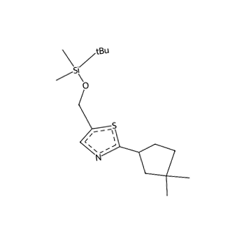 CC1(C)CCC(c2ncc(CO[Si](C)(C)C(C)(C)C)s2)C1